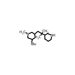 CN1CC(CC(C)(C)C2CCCNC2)CC(C(C)(C)C)C1